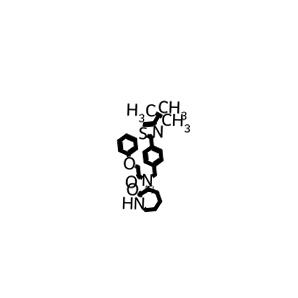 CC(C)(C)c1csc(-c2ccc(CN(C(=O)COc3ccccc3)[C@H]3CCCCNC3=O)cc2)n1